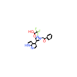 O=C(Cn1cc(-c2ccnc3[nH]ccc23)cn1)c1ccccc1.O=C(O)C(F)(F)F